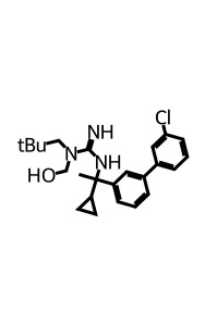 CC(C)(C)CN(CO)C(=N)NC(C)(c1cccc(-c2cccc(Cl)c2)c1)C1CC1